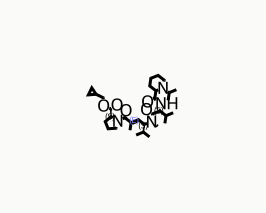 C/C(=C\[C@H](C(C)C)N(C)C(=O)[C@@H](NC(=O)C1CCCCN1C(C)C)C(C)C)C(=O)N1CCC[C@H]1C(=O)OCC1CC1